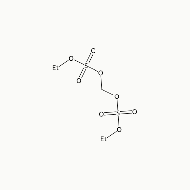 CCOS(=O)(=O)OCOS(=O)(=O)OCC